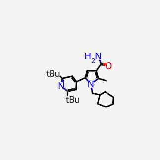 Cc1c(C(N)=O)cc(-c2cc(C(C)(C)C)nc(C(C)(C)C)c2)n1CC1CCCCC1